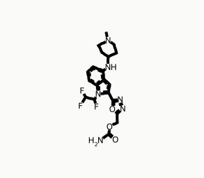 CN1CCC(Nc2cccc3c2cc(-c2nnc(COC(N)=O)o2)n3C(F)C(F)F)CC1